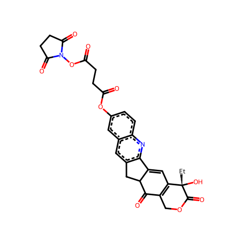 CC[C@@]1(O)C(=O)OCC2=C1C=C1c3nc4ccc(OC(=O)CCC(=O)ON5C(=O)CCC5=O)cc4cc3CC1C2=O